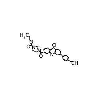 C#Cc1ccc(C2CCc3c(nc4cc(C(=O)N5CCN(C(=O)OCCC)CC5)ccc4c3Cl)C2)cc1